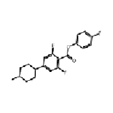 CC1CCC(c2cc(F)c(C(=O)Oc3ccc(F)cc3)c(F)c2)CC1